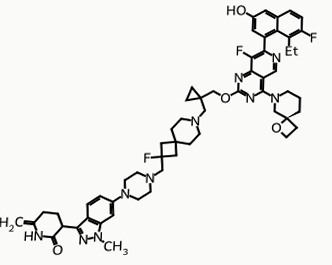 C=C1CCC(c2nn(C)c3cc(N4CCN(CC5(F)CC6(CCN(CC7(COc8nc(N9CCC[C@]%10(CCO%10)C9)c9cnc(-c%10cc(O)cc%11ccc(F)c(CC)c%10%11)c(F)c9n8)CC7)CC6)C5)CC4)ccc23)C(=O)N1